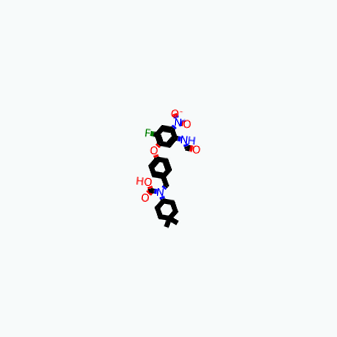 CC1(C)CCC(N(Cc2ccc(Oc3cc(NC=O)c([N+](=O)[O-])cc3F)cc2)C(=O)O)CC1